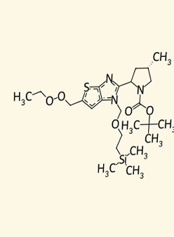 CCOOCc1cc2c(nc(C3C[C@H](C)CN3C(=O)OC(C)(C)C)n2COCC[Si](C)(C)C)s1